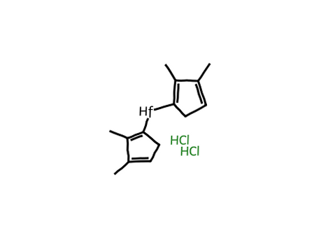 CC1=CC[C]([Hf][C]2=C(C)C(C)=CC2)=C1C.Cl.Cl